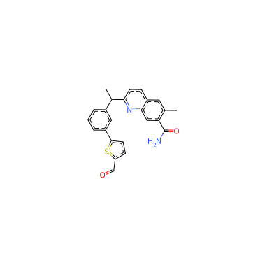 Cc1cc2ccc(C(C)c3cccc(-c4ccc(C=O)s4)c3)nc2cc1C(N)=O